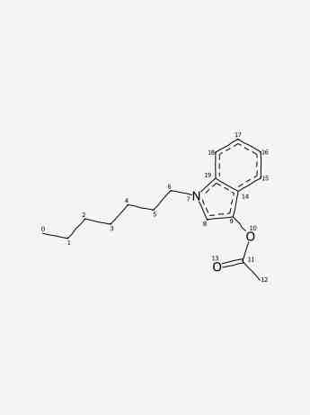 CCCCCCCn1cc(OC(C)=O)c2ccccc21